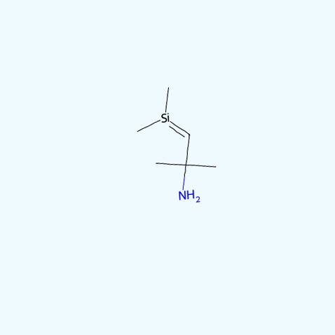 C[Si](C)=CC(C)(C)N